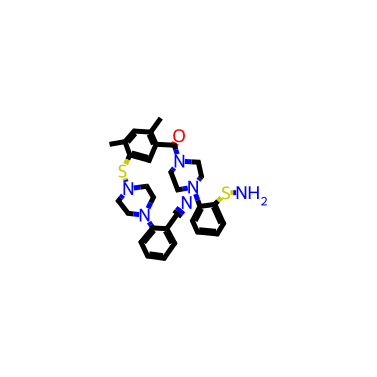 Cc1cc(C)c(C(=O)N2CCN(c3ccccc3SN)CC2)cc1SN1CCN(c2ccccc2C#N)CC1